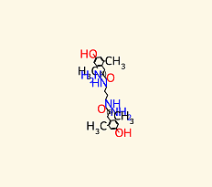 Cc1cc(O)cc(C)c1C[C@H](N)C(=O)NCCCCNC(=O)[C@@H](N)Cc1c(C)cc(O)cc1C